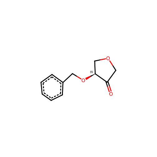 O=C1COC[C@@H]1OCc1ccccc1